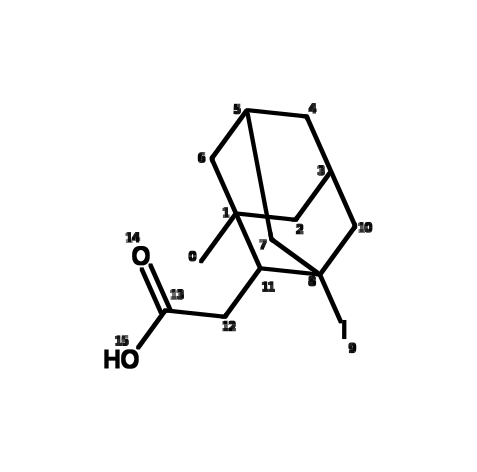 CC12CC3CC(C1)CC(I)(C3)C2CC(=O)O